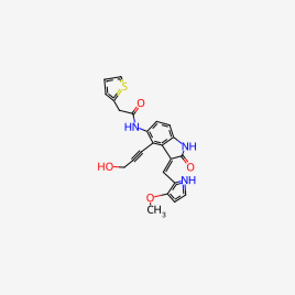 COc1cc[nH]c1C=C1C(=O)Nc2ccc(NC(=O)Cc3cccs3)c(C#CCO)c21